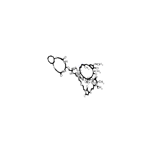 COc1cc2cc(c1Cl)N(C)C(=O)C[C@H](OC(=O)[C@H](C)N(C)C(=O)CCSC1CC(=O)N(CCOCCOCCNC(=O)COC3CNC(=O)CCSC4CCCCCCC(C4)SCCC(=O)NC3)C1=O)[C@]1(C)O[C@H]1[C@H](C)[C@@H]1C[C@@](O)(NC(=O)O1)[C@H](OC)/C=C/C=C(\C)C2